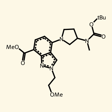 COCCn1cc2c(N3CCC(N(C)C(=O)OC(C)(C)C)C3)ccc(C(=O)OC)c2n1